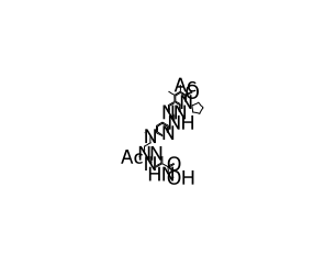 CC(=O)c1c(C)c2cnc(Nc3ccc(N(C)CCN(C(C)=O)c4ncc(C(=O)NO)cn4)cn3)nc2n(C2CCCC2)c1=O